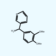 COc1ccc(C(N)c2cccnc2)cc1OC